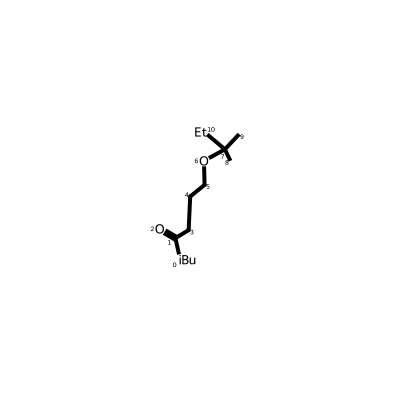 CCC(C)C(=O)CCCOC(C)(C)CC